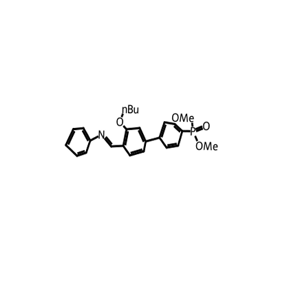 CCCCOc1cc(-c2ccc(P(=O)(OC)OC)cc2)ccc1/C=N/c1ccccc1